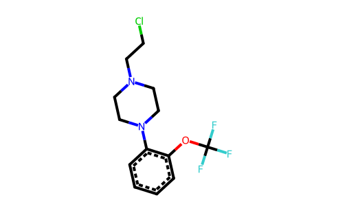 FC(F)(F)Oc1ccccc1N1CCN(CCCl)CC1